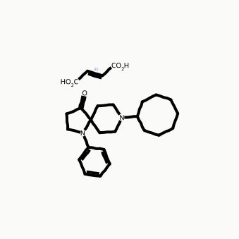 O=C(O)/C=C/C(=O)O.O=C1CCN(c2ccccc2)C12CCN(C1CCCCCCC1)CC2